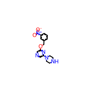 O=[N+]([O-])c1cccc(COc2cncc(N3CCNCC3)n2)c1